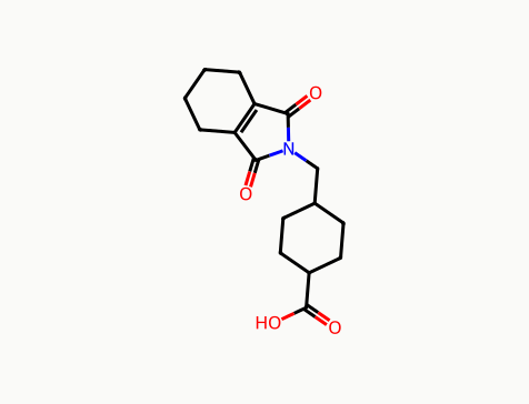 O=C(O)C1CCC(CN2C(=O)C3=C(CCCC3)C2=O)CC1